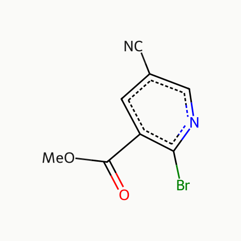 COC(=O)c1cc(C#N)cnc1Br